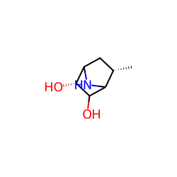 C[C@H]1CC2NC1C(O)[C@@H]2O